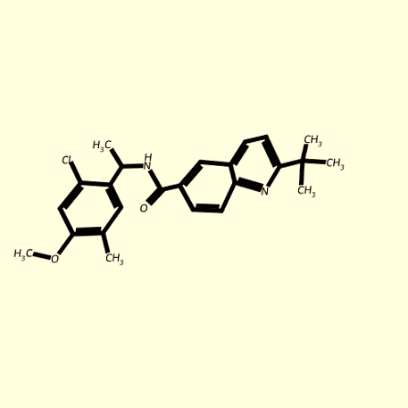 COc1cc(Cl)c(C(C)NC(=O)c2ccc3nc(C(C)(C)C)ccc3c2)cc1C